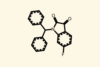 O=C1C(=O)N(C(c2ccccc2)c2ccccc2)c2cc(F)ccc21